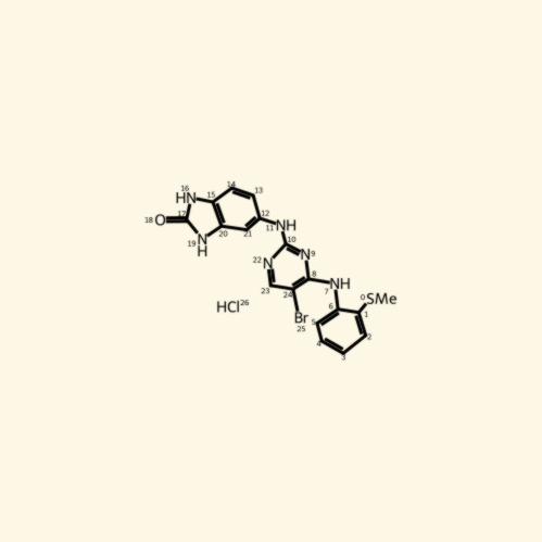 CSc1ccccc1Nc1nc(Nc2ccc3[nH]c(=O)[nH]c3c2)ncc1Br.Cl